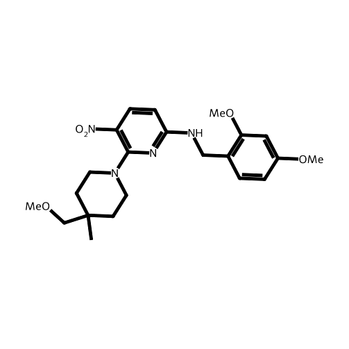 COCC1(C)CCN(c2nc(NCc3ccc(OC)cc3OC)ccc2[N+](=O)[O-])CC1